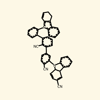 N#CC1=CC2c3ccccc3N(c3cc(-c4cccc(-c5ccccc5-n5c6c(c7ccccc75)CCC=C6)c4C#N)ccc3C#N)C2C=C1